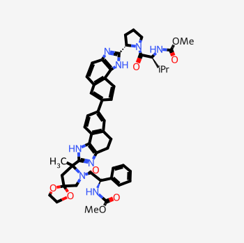 COC(=O)N[C@H](C(=O)N1CCC[C@H]1c1nc2ccc3cc(-c4ccc5c(c4)CCc4nc(C6(C)CC7(CN6C(=O)[C@H](NC(=O)OC)c6ccccc6)OCCO7)[nH]c4-5)ccc3c2[nH]1)C(C)C